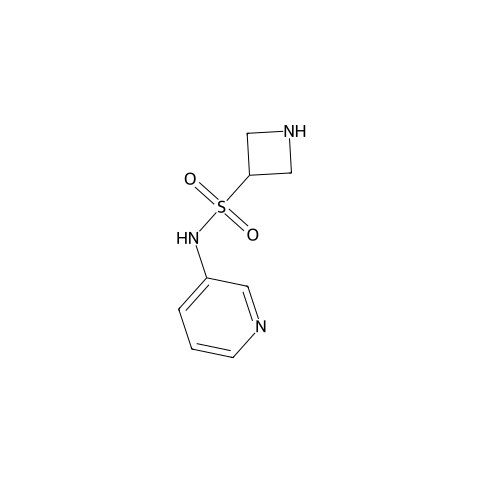 O=S(=O)(Nc1cccnc1)C1CNC1